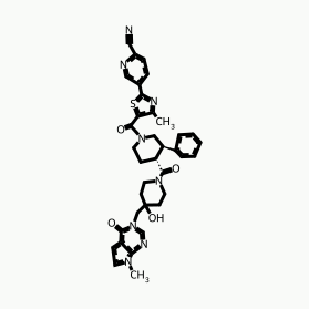 Cc1nc(-c2ccc(C#N)nc2)sc1C(=O)N1CC[C@@H](C(=O)N2CCC(O)(Cn3cnc4c(ccn4C)c3=O)CC2)[C@H](c2ccccc2)C1